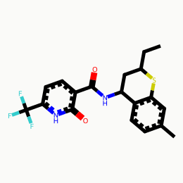 CCC1CC(NC(=O)c2ccc(C(F)(F)F)[nH]c2=O)c2ccc(C)cc2S1